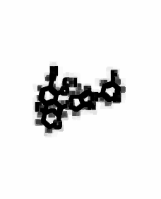 COc1c(C#N)ccc2c1C(N1Cc3cn(-c4cncc(F)c4)nc3C1)=C1CC2(F)CCO1